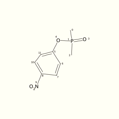 CP(C)(=O)Oc1ccc([N+](=O)[O-])cc1